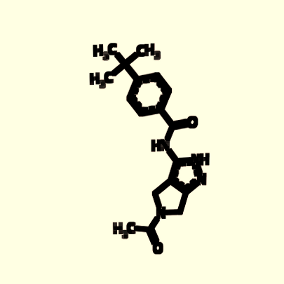 CC(=O)N1Cc2n[nH]c(NC(=O)c3ccc(C(C)(C)C)cc3)c2C1